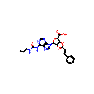 CCCNC(=O)Nc1ncnc2c1ncn2C1OC(C(=O)O)C2OC(C=Cc3ccccc3)OC21